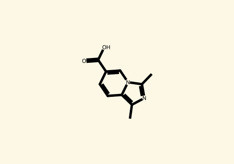 Cc1nc(C)n2cc(C(=O)O)ccc12